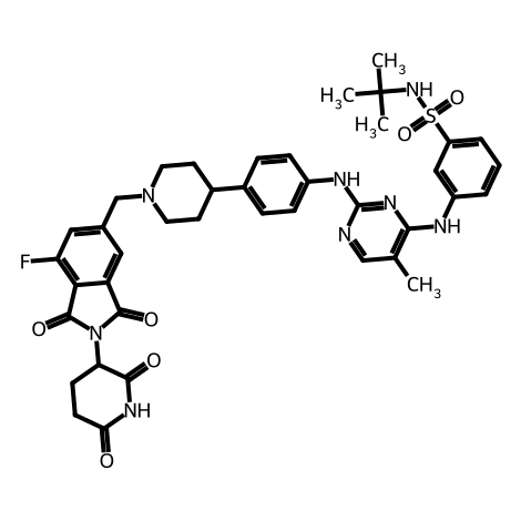 Cc1cnc(Nc2ccc(C3CCN(Cc4cc(F)c5c(c4)C(=O)N(C4CCC(=O)NC4=O)C5=O)CC3)cc2)nc1Nc1cccc(S(=O)(=O)NC(C)(C)C)c1